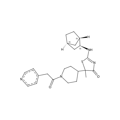 CC1(C2CCN(C(=O)Cc3ccncc3)CC2)SC(N[C@H]2C[C@H]3CC[C@H]2C3)=NC1=O